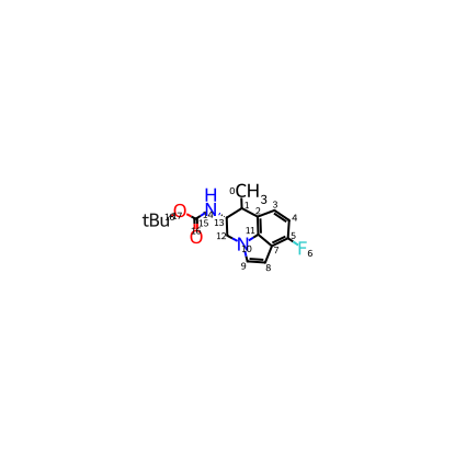 CC1c2ccc(F)c3ccn(c23)C[C@@H]1NC(=O)OC(C)(C)C